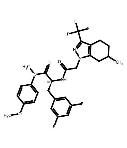 COc1ccc(N(C)C(=O)[C@H](Cc2cc(F)cc(F)c2)NC(=O)Cn2nc(C(F)(F)F)c3c2CC(C)CC3)cc1